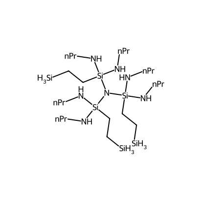 CCCN[Si](CC[SiH3])(NCCC)N([Si](CC[SiH3])(NCCC)NCCC)[Si](CC[SiH3])(NCCC)NCCC